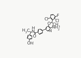 CC(NC(=O)c1ccc(-c2cnc(N)c(OC(C)c3c(Cl)ccc(F)c3Cl)c2)cc1)c1ccc(O)cc1